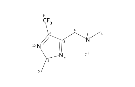 CC1N=C(CN(C)C)C(C(F)(F)F)=N1